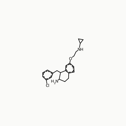 NC1CCc2ccc(OCCNC3CC3)cc2C1Cc1cccc(Cl)c1